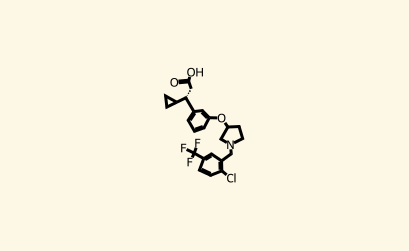 O=C(O)C[C@H](c1cccc(OC2CCN(Cc3cc(C(F)(F)F)ccc3Cl)C2)c1)C1CC1